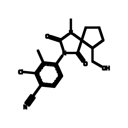 Cc1c(N2C(=O)N(C)C3(CCCC3CO)C2=O)ccc(C#N)c1Cl